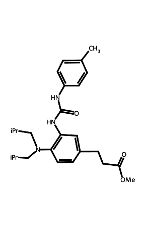 COC(=O)CCc1ccc(N(CC(C)C)CC(C)C)c(NC(=O)Nc2ccc(C)cc2)c1